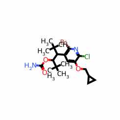 CC(C)(C)C(OC(N)=O)C(c1cc(OCC2CC2)c(Cl)nc1Br)C(C)(C)C